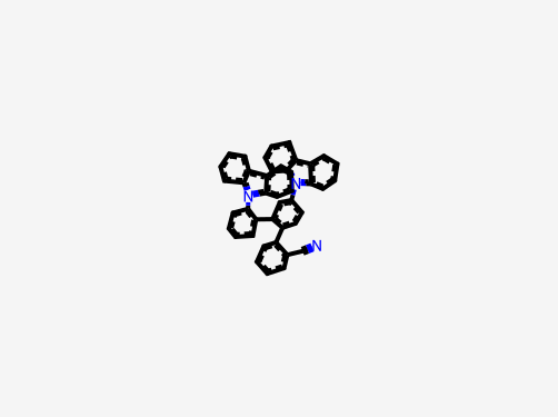 N#Cc1ccccc1-c1ccc(-n2c3ccccc3c3ccccc32)cc1-c1ccccc1-n1c2ccccc2c2ccccc21